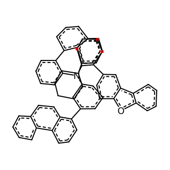 c1cc(-c2cccc3c2ccc2ccccc23)cc(N(c2ccccc2-c2ccc3oc4ccccc4c3c2)c2ccccc2-c2cccc3cccc(C4CCCCC4)c23)c1